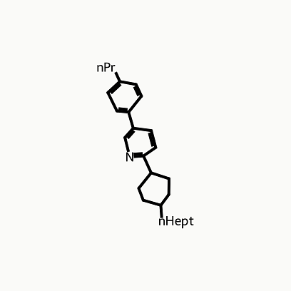 CCCCCCCC1CCC(c2ccc(-c3ccc(CCC)cc3)cn2)CC1